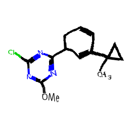 COc1nc(Cl)nc(C2C=C(C3(C)CC3)C=CC2)n1